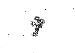 Cc1ccc(-c2cn(OOSc3ccccc3)c3ncc(-c4ccccc4Oc4ccccc4)cc23)cc1